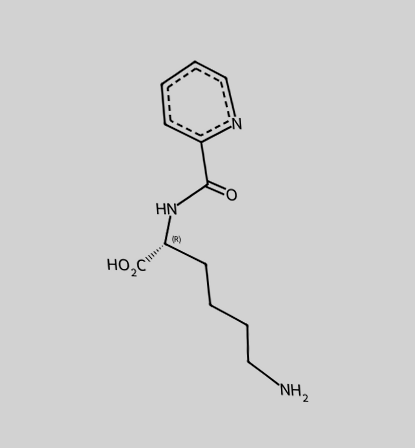 NCCCC[C@@H](NC(=O)c1ccccn1)C(=O)O